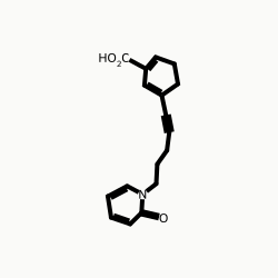 O=C(O)C1=CCCC(C#CCCCn2ccccc2=O)=C1